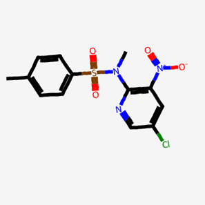 Cc1ccc(S(=O)(=O)N(C)c2ncc(Cl)cc2[N+](=O)[O-])cc1